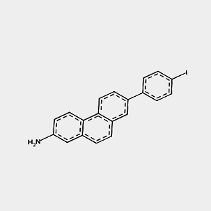 Nc1ccc2c(ccc3cc(-c4ccc(I)cc4)ccc32)c1